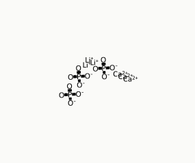 O=P([O-])([O-])[O-].O=P([O-])([O-])[O-].O=P([O-])([O-])[O-].[Ca+2].[Ca+2].[Ca+2].[Li+].[Li+].[Li+]